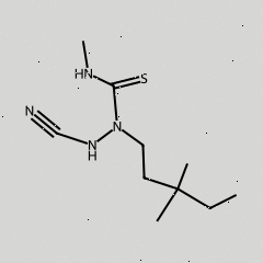 CCC(C)(C)CCN(NC#N)C(=S)NC